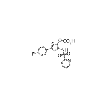 O=C(O)Oc1sc(-c2ccc(F)cc2)cc1NS(=O)(=O)c1ccccn1